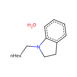 CCCCCCCN1CCc2ccccc21.O